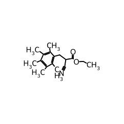 CCOC(=O)C(C#N)Cc1c(C)c(C)c(C)c(C)c1C